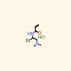 C=CC(=O)NC(CC)CN(C)C.Cl